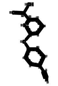 N#Cc1ccc(Oc2cccc(C(=O)O)n2)cc1